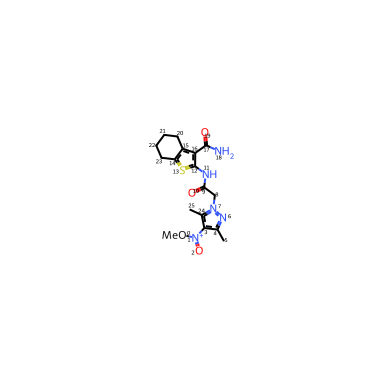 CO[N+](=O)c1c(C)nn(CC(=O)Nc2sc3c(c2C(N)=O)CCCC3)c1C